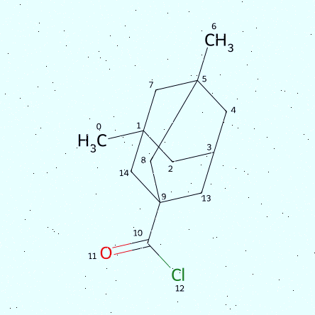 CC12CC3CC(C)(C1)CC(C(=O)Cl)(C3)C2